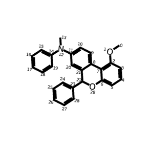 COc1cccc2c1-c1ccc(N(C)c3ccccc3)cc1C(c1ccccc1)O2